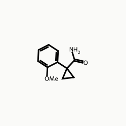 COc1ccccc1C1(C(N)=O)CC1